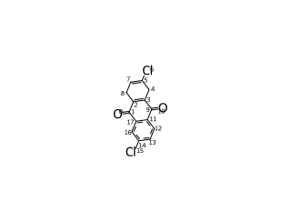 O=C1C2=C(CC(Cl)=CC2)C(=O)c2ccc(Cl)cc21